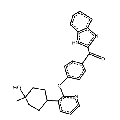 CC1(O)CCC(c2cccnc2Oc2ccc(C(=O)c3nc4ccccc4[nH]3)cc2)CC1